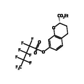 CCOC(=O)[C@@H]1CCc2ccc(OS(=O)(=O)C(F)(F)C(F)(F)C(F)(F)C(F)(F)F)cc2O1